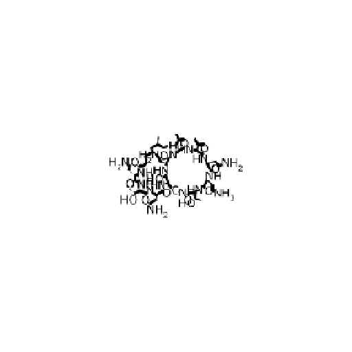 CC[C@H](C)CCCCC(=O)N[C@@H](CCN)C(=O)N[C@H](C(=O)N[C@@H](CCN)C(=O)N[C@H]1CCNC(=O)[C@H]([C@@H](C)O)NC(=O)[C@H](CCN)NC(=O)[C@H](CCN)NC(=O)[C@H](C(C)C)NC(=O)[C@@H](CC(C)C)NC(=O)[C@H](CCN)NC1O)[C@@H](C)O